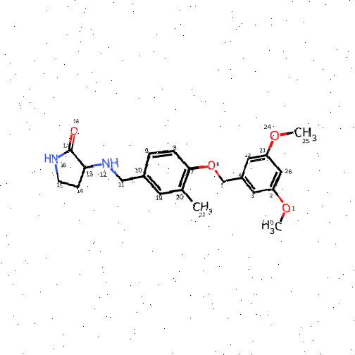 COc1cc(COc2ccc(CNC3CCNC3=O)cc2C)cc(OC)c1